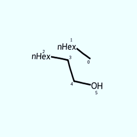 CCCCCCC.CCCCCCCCO